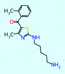 Cc1ccccc1C(=O)c1sc(NCCCCCN)nc1C